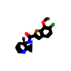 CC(C)Oc1c(Cl)ccc2cc(C(=O)N[C@@H]3C4CCN(CC4)C34CC4)sc12